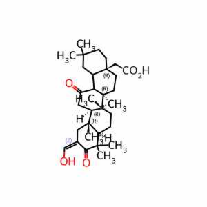 CC1(C)CC[C@]2(CC(=O)O)CC[C@]3(C)C(C(=O)C[C@@H]4[C@@]5(C)C/C(=C/O)C(=O)C(C)(C)[C@@H]5CC[C@]43C)C2C1